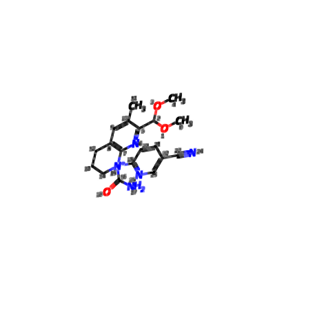 COC(OC)c1nc2c(cc1C)CCC[N+]2(C(N)=O)c1ccc(C#N)cn1